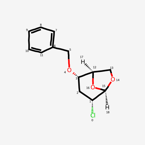 Cl[C@@H]1C[C@H](OCc2ccccc2)[C@H]2CO[C@@H]1O2